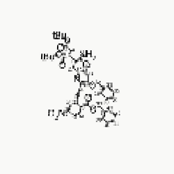 CC(C)(C)OC(=O)C[C@H](C(=O)OC(C)(C)C)C(Cc1ccc(OCc2ccccc2)c(C#Cc2cc([N+](=O)[O-])ccc2C(=O)OCc2ccccc2)n1)C(N)=O